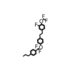 CCCc1ccc(C(F)(F)Oc2ccc(CCc3ccc(OC(F)F)c(F)c3)cc2)cc1